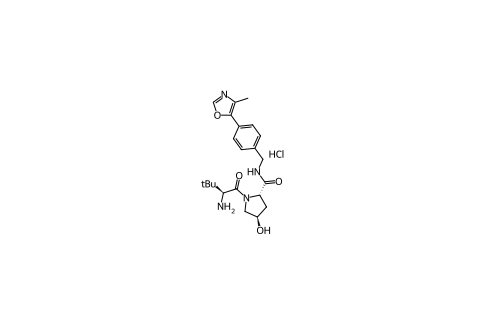 Cc1ncoc1-c1ccc(CNC(=O)[C@@H]2C[C@@H](O)CN2C(=O)[C@@H](N)C(C)(C)C)cc1.Cl